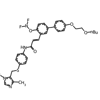 CCCCOCCOc1ccc(-c2ccc(ON(F)F)c(/C=C/C(=O)Nc3ccc(SCc4c(C)ncn4CC)cc3)c2)cc1